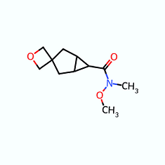 CON(C)C(=O)C1C2CC3(COC3)CC21